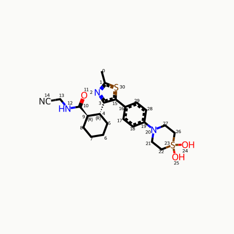 Cc1nc([C@@H]2CCCC[C@H]2C(=O)NCC#N)c(-c2ccc(N3CCS(O)(O)CC3)cc2)s1